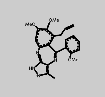 C=CCc1c(OC)c(OC)cc2c1C(c1ccccc1OC)=NC1=C(C)[N]NC1=N2